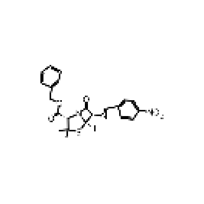 CC1(C)S[C@@H]2[C@H](/N=C/c3ccc([N+](=O)[O-])cc3)C(=O)N2[C@H]1C(=O)OCc1ccccc1